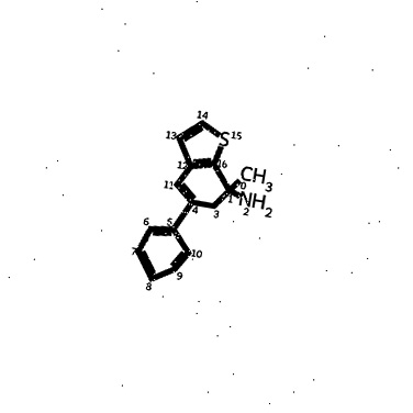 CC1(N)CC(c2ccccc2)=Cc2ccsc21